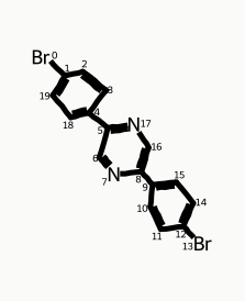 Brc1ccc(-c2cnc(-c3ccc(Br)cc3)cn2)cc1